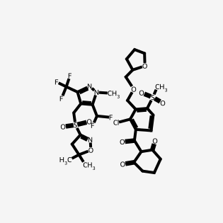 CS(=O)(=O)c1ccc(C(=O)C2C(=O)CCCC2=O)c(Cl)c1COCC1CCCO1.Cn1nc(C(F)(F)F)c(CS(=O)(=O)C2=NOC(C)(C)C2)c1C(F)F